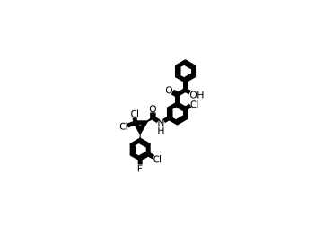 O=C(c1cc(NC(=O)[C@H]2[C@H](c3ccc(F)c(Cl)c3)C2(Cl)Cl)ccc1Cl)C(O)c1ccccc1